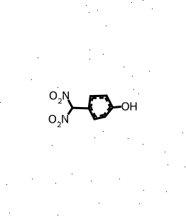 O=[N+]([O-])C(c1ccc(O)cc1)[N+](=O)[O-]